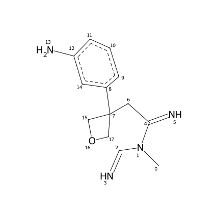 CN(C=N)C(=N)CC1(c2cccc(N)c2)COC1